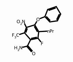 CCCc1c(F)c(C(N)=O)c(C(F)(F)F)c([N+](=O)[O-])c1Oc1ccccc1